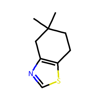 CC1(C)CCc2scnc2C1